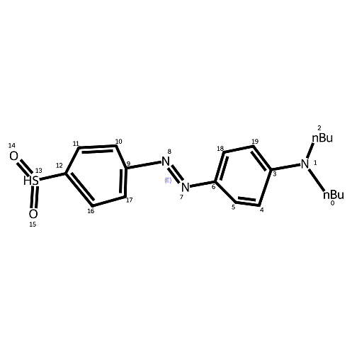 CCCCN(CCCC)c1ccc(/N=N/c2ccc([SH](=O)=O)cc2)cc1